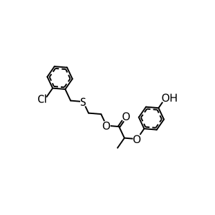 CC(Oc1ccc(O)cc1)C(=O)OCCSCc1ccccc1Cl